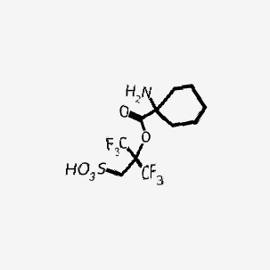 NC1(C(=O)OC(CS(=O)(=O)O)(C(F)(F)F)C(F)(F)F)CCCCC1